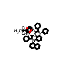 CC(C)(C)c1ccc(-n2c3c(c4c2B2c5c(cccc5N(c5cccc6ccccc56)c5c6c(n(-c7ccccc7)c52)CCCC6)N4c2ccccc2)CCCC3)cc1